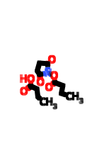 CCCC(=O)O.CCCC(=O)ON1C(=O)CCC1=O